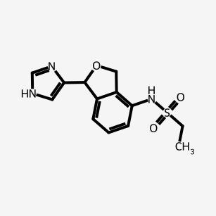 CCS(=O)(=O)Nc1cccc2c1COC2c1c[nH]cn1